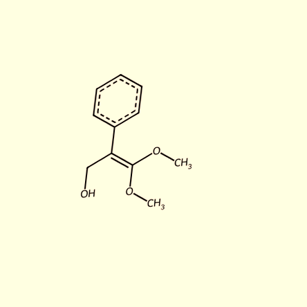 COC(OC)=C(CO)c1ccccc1